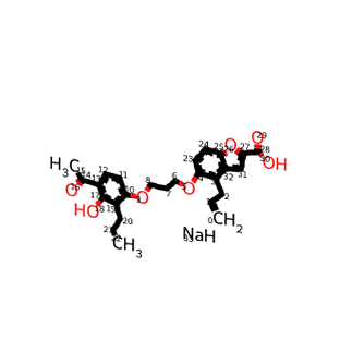 C=CCc1c(OCCCOc2ccc(C(C)=O)c(O)c2CCC)ccc2oc(C(=O)O)cc12.[NaH]